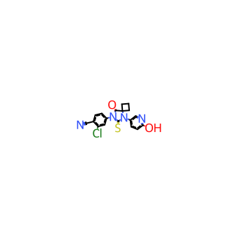 N#Cc1ccc(N2C(=O)C3(CCC3)N(c3ccc(O)nc3)C2=S)cc1Cl